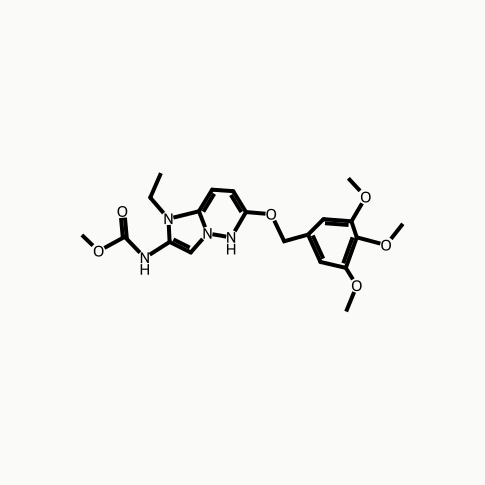 CCN1C(NC(=O)OC)=CN2NC(OCc3cc(OC)c(OC)c(OC)c3)=CC=C21